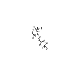 CN1CCC(OCC2CC(C)(O)CCN2C)CC1